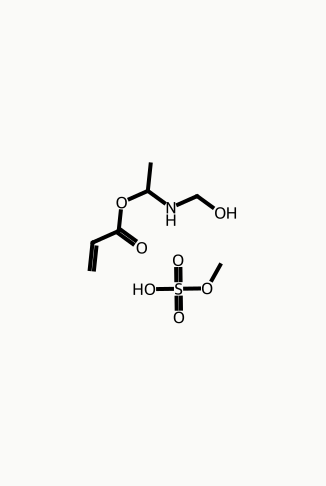 C=CC(=O)OC(C)NCO.COS(=O)(=O)O